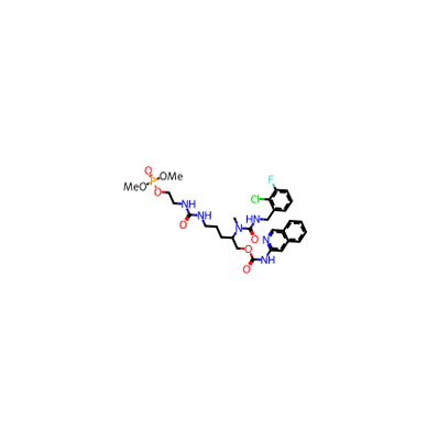 COP(=O)(OC)OCCNC(=O)NCCCC(COC(=O)Nc1cc2ccccc2cn1)N(C)C(=O)NCc1cccc(F)c1Cl